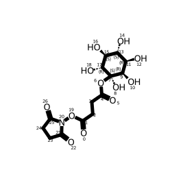 O=C(CCC(=O)O[C@]1(O)[C@H](O)[C@H](O)[C@@H](O)[C@H](O)[C@H]1O)ON1C(=O)CCC1=O